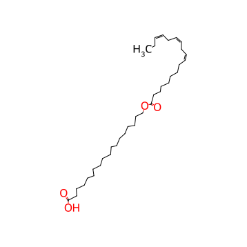 CC/C=C\C/C=C\C/C=C\CCCCCCCC(=O)OCCCCCCCCCCCCCCCCCC(=O)O